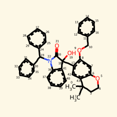 CC1(C)CCOc2cc(OCc3ccccc3)c(C3(O)C(=O)N(C(c4ccccc4)c4ccccc4)c4ccccc43)cc21